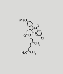 COc1ccc2c(c1)c(CC(=O)OCC=C(C)CCC=C(C)C)c(C)n2C(=O)c1ccc(Cl)cc1